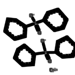 O=P([O-])(c1ccccc1)c1ccccc1.O=P([O-])(c1ccccc1)c1ccccc1.[Cr+2]